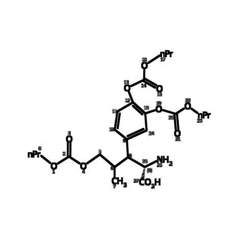 CCCOC(=O)OCC(C)C(c1ccc(OC(=O)OCCC)c(OC(=O)OCCC)c1)[C@H](N)C(=O)O